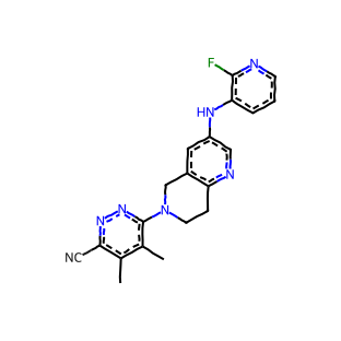 Cc1c(C#N)nnc(N2CCc3ncc(Nc4cccnc4F)cc3C2)c1C